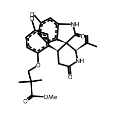 C=C(C)[C@H]1NC(=O)C[C@@H](c2cc(Cl)ccc2OCC(C)(C)C(=O)OC)[C@]12C(=O)Nc1cc(Cl)ccc12